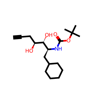 C#CC[C@H](O)[C@H](O)[C@H](CC1CCCCC1)NC(=O)OC(C)(C)C